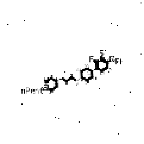 CCCCC[Si@H]1CC[C@H](CCCC[C@H]2CC[C@H](c3ccc(OCC)c(F)c3F)CC2)CC1